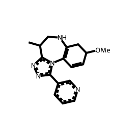 COC1C=CC2=C(C1)NCC(C)c1nnc(-c3cccnc3)n12